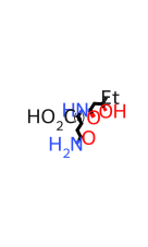 CCC(O)CC(=O)N[C@@H](CCC(N)=O)C(=O)O